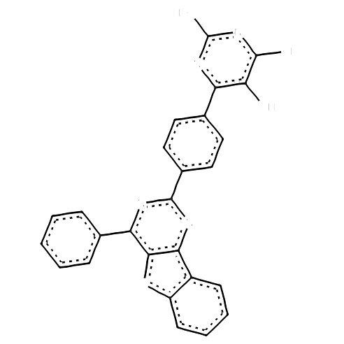 Cc1nc(C)c(C)c(-c2ccc(-c3nc(-c4ccccc4)c4sc5ccccc5c4n3)cc2)n1